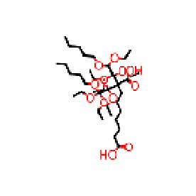 CCCCCOC(OCC)C(OCC)(OCC)C(CCCCCCC(=O)O)(C(=O)O)C(OCC)(OCC)C(OCC)(OCC)OCCCCC